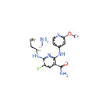 CCOc1cc(Nc2nc(N[C@@H](CN)CC(C)C)c(F)cc2C(N)=O)ccn1